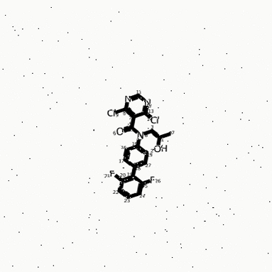 CC(O)CN(C(=O)c1c(Cl)ncnc1Cl)c1ccc(-c2c(F)cccc2F)cc1